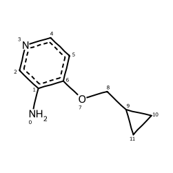 Nc1cnccc1OCC1CC1